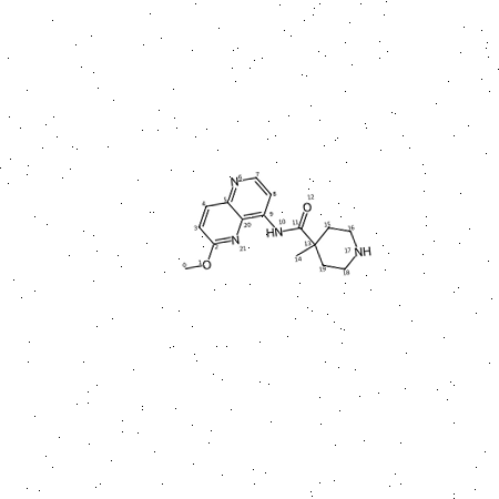 COc1ccc2nccc(NC(=O)C3(C)CCNCC3)c2n1